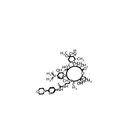 CC[C@@H]1OC(=O)[C@H](C)[C@H](C)[C@@H](C)[C@H](C[C@@H]2CC(C)(OC)[C@H](O)[C@H](C)O2)C(O)(C[C@@H]2O[C@H](C)C[C@H](N(C)C)[C@@H]2O)C[C@H](C)CN(CCNC(=S)Nc2ccc(N3CCOCC3)nc2)[C@H](C)[C@@H](O)C1(C)O